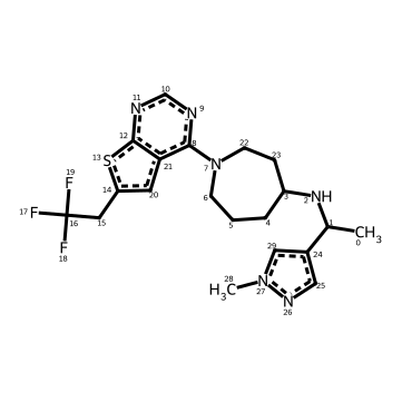 CC(NC1CCCN(c2ncnc3sc(CC(F)(F)F)cc23)CC1)c1cnn(C)c1